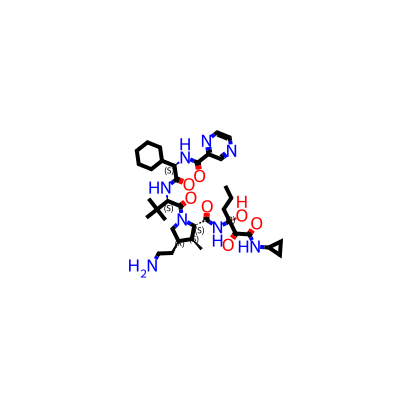 CCC[C@](O)(NC(=O)[C@@H]1[C@@H](C)[C@@H](CCN)CN1C(=O)[C@@H](NC(=O)[C@@H](NC(=O)c1cnccn1)C1CCCCC1)C(C)(C)C)C(=O)C(=O)NC1CC1